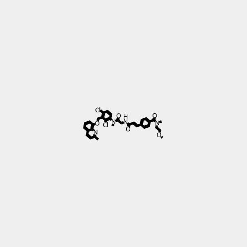 COCCN(C)C(=O)c1ccc(C=CC(=O)NCC(=O)N(C)c2ccc(Cl)c(COc3cccc4ccc(C)nc34)c2Cl)cc1